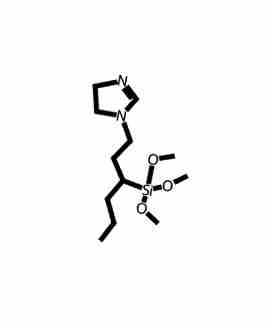 CCCC(CCN1C=NCC1)[Si](OC)(OC)OC